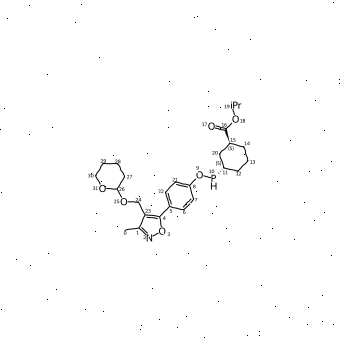 Cc1noc(-c2ccc(OP[C@H]3CCC[C@H](C(=O)OC(C)C)C3)cc2)c1COC1CCCCO1